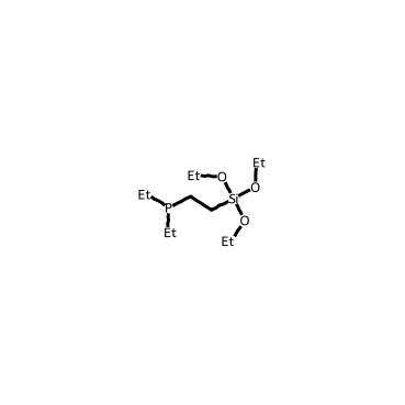 CCO[Si](CCP(CC)CC)(OCC)OCC